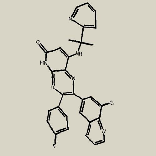 CC(C)(Nc1cc(=O)[nH]c2nc(-c3ccc(F)cc3)c(-c3cc(Cl)c4ncccc4c3)nc12)c1ccccn1